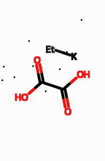 C[CH2][K].O=C(O)C(=O)O